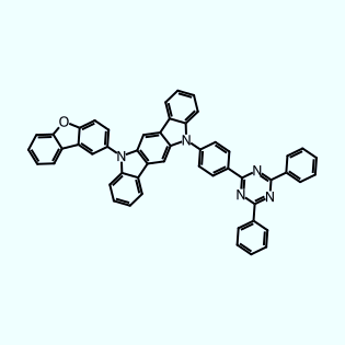 c1ccc(-c2nc(-c3ccccc3)nc(-c3ccc(-n4c5ccccc5c5cc6c(cc54)c4ccccc4n6-c4ccc5oc6ccccc6c5c4)cc3)n2)cc1